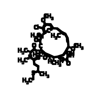 CCSC(C)CCC(=O)N(C)[C@@H](C)C(=O)O[C@H]1CC(=O)N(C)c2cc(cc(OC)c2Cl)C/C(C)=C/C=C/[C@@H](OC)[C@@]2(O)C[C@H](OC(=O)N2)[C@@H](C)[C@@H]2O[C@@]12C